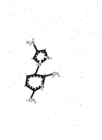 Cc1ccc(-n2cc(N)cn2)c(C)n1